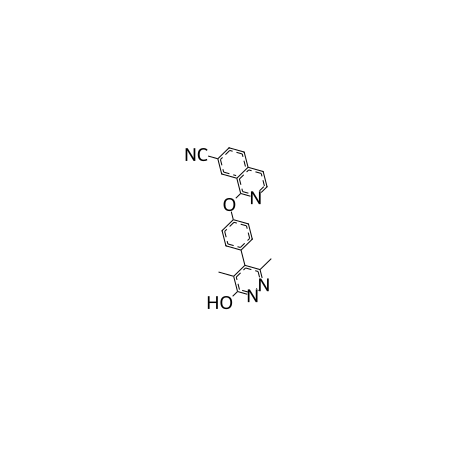 Cc1nnc(O)c(C)c1-c1ccc(Oc2nccc3ccc(C#N)cc23)cc1